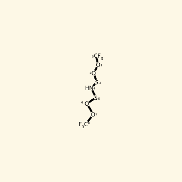 FC(F)(F)OOSNSOOC(F)(F)F